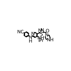 CC(C)Nc1cc(Nc2ccc(C#N)cc2)ncc1-c1nnc(C(=O)N2CCNCC2)s1